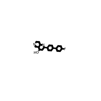 Oc1cc(-c2ccc(-c3ccc(F)cc3)cc2)nc2ccncc12